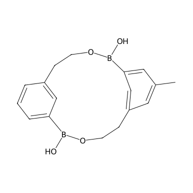 Cc1cc2cc(c1)B(O)OCCc1cccc(c1)B(O)OCC2